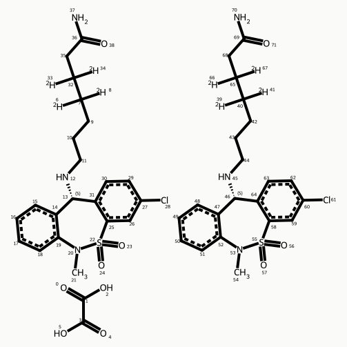 O=C(O)C(=O)O.[2H]C([2H])(CCCN[C@H]1c2ccccc2N(C)S(=O)(=O)c2cc(Cl)ccc21)C([2H])([2H])CC(N)=O.[2H]C([2H])(CCCN[C@H]1c2ccccc2N(C)S(=O)(=O)c2cc(Cl)ccc21)C([2H])([2H])CC(N)=O